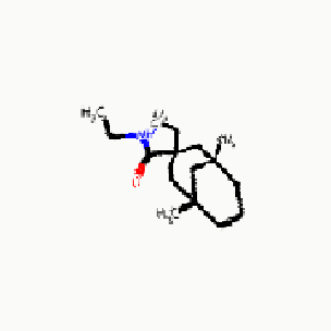 CCNC(=O)C1(CC)CC2(C)CCCC(C)(C2)C1